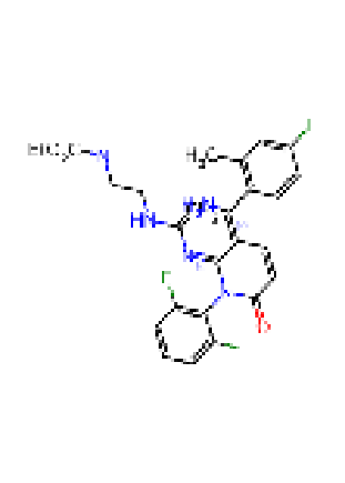 C=C(/N=C1\C(=C(/N)c2ccc(F)cc2C)C=CC(=O)N1c1c(F)cccc1F)NCCNC(=O)OCC